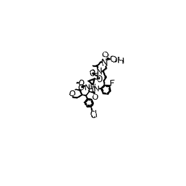 COC(=O)NC(C(=O)Nc1cccc(F)c1CCC1CN(C(=O)O)CC(C)N1S(=O)(=O)C1CC1)C(c1ccc(Cl)cc1)C1CCOCC1